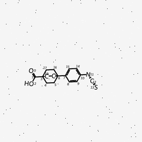 O=C(O)C12CCC(c3ccc(N=C=S)cc3)(CC1)CC2